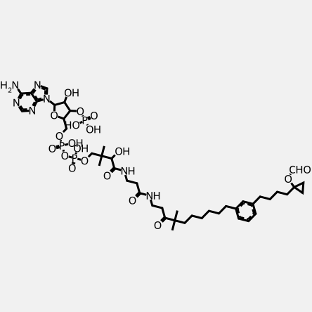 CC(C)(CCCCCCc1cccc(CCCCC2(OC=O)CC2)c1)C(=O)CCNC(=O)CCNC(=O)C(O)C(C)(C)COP(=O)(O)OP(=O)(O)OCC1OC(n2cnc3c(N)ncnc32)C(O)C1OP(=O)(O)O